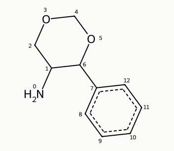 NC1COCOC1c1ccccc1